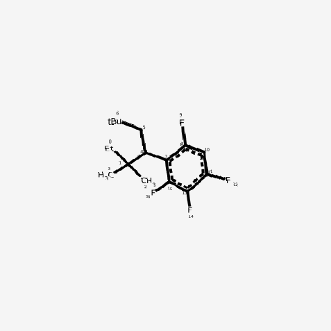 CCC(C)(C)C(CC(C)(C)C)c1c(F)cc(F)c(F)c1F